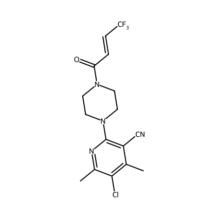 Cc1nc(N2CCN(C(=O)C=CC(F)(F)F)CC2)c(C#N)c(C)c1Cl